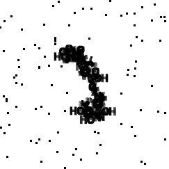 CCc1c2c(nc3ccc(N(CCOCCn4ccc5cc(-n6c(O)nnc6-c6cc(C(C)C)c(O)cc6O)ccc54)C(=O)O)cc13)-c1cc3c(c(=O)n1C2)COC(=O)C3(O)CC